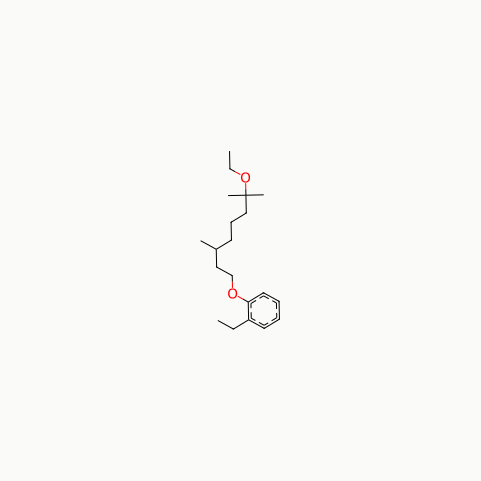 CCOC(C)(C)CCCC(C)CCOc1ccccc1CC